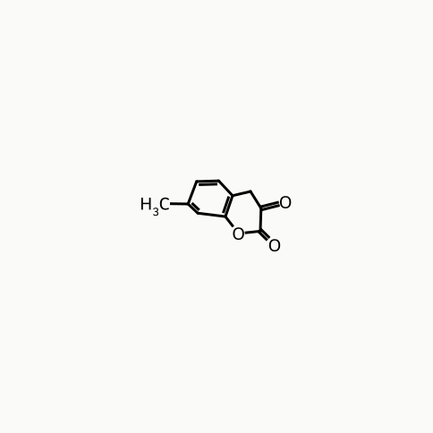 Cc1ccc2c(c1)OC(=O)C(=O)C2